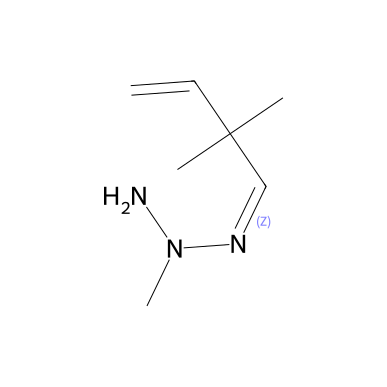 C=CC(C)(C)/C=N\N(C)N